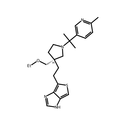 CCOC[C@]1(CCc2scc3[nH]cnc23)CCN(C(C)(C)c2ccc(C)nc2)C1